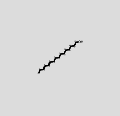 CCC=CC=CCCCCCCCCCCO